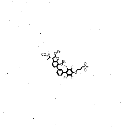 CCOc1c(-c2cccc(-c3c(CC)c(Cl)c(OCCCS(C)(=O)=O)c(Cl)c3CC)c2)ccc2c1OC(OCC)[C@H]2C(C)C(=O)O